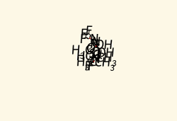 CO[C@@H]1[C@@H](n2cc(-c3cc(F)c(F)c(F)c3)nn2)[C@@H](O)[C@@H](CO)O[C@H]1S[C@H](C(=O)N(C)C(C)C)C1(O)CCC(F)(F)CC1